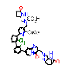 COc1nc(-c2cccc(-c3cccc(-c4ccn5c(=O)c(CNCC67CCC(C6)C(=O)N7)cnc5c4)c3Cl)c2Cl)ccc1CN(C[C@@H]1CCC(=O)N1)C(=O)O